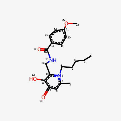 CCCCCn1c(C)cc(=O)c(O)c1CNC(=O)c1ccc(OC)cc1